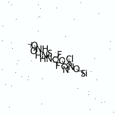 CC(C)(C)OC(=O)NCCNC(=S)Nc1cc(F)c(Oc2ccnc3c2c(Cl)cn3COCC[Si](C)(C)C)c(F)c1